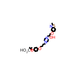 Cc1nc2cc(OC[C@H](O)CN3CCN(CCCCOc4ccc(OC(C)(C)C(=O)O)cc4)CC3)ccc2s1